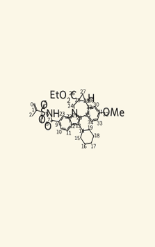 C=C(C)S(=O)(=O)NC(=O)c1ccc2c(C3CCCCC3)c3n(c2c1)C[C@@]1(C(=O)OCC)C[C@H]1c1cc(OC)ccc1-3